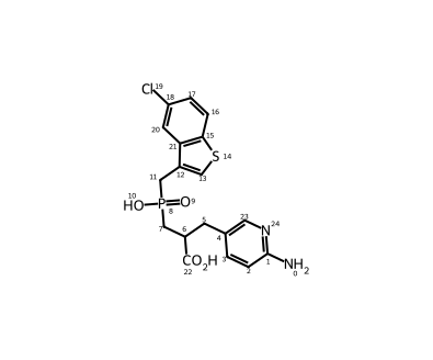 Nc1ccc(CC(CP(=O)(O)Cc2csc3ccc(Cl)cc23)C(=O)O)cn1